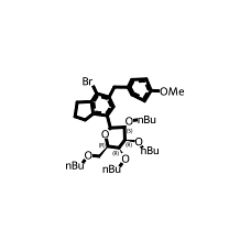 CCCCOC[C@H]1OC(c2cc(Cc3ccc(OC)cc3)c(Br)c3c2CCC3)[C@H](OCCCC)[C@@H](OCCCC)[C@@H]1OCCCC